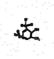 C=O.Cc1cccc(S(=O)(=O)[O-])c1O.[Na+]